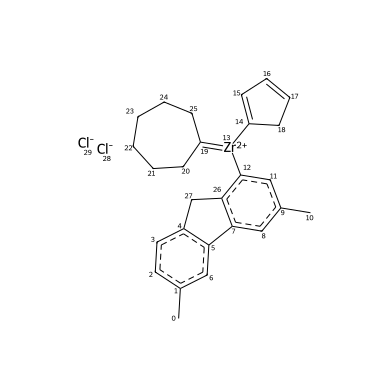 Cc1ccc2c(c1)-c1cc(C)c[c]([Zr+2]([C]3=CC=CC3)=[C]3CCCCCC3)c1C2.[Cl-].[Cl-]